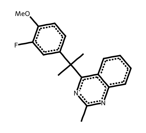 COc1ccc(C(C)(C)c2nc(C)nc3ccccc23)cc1F